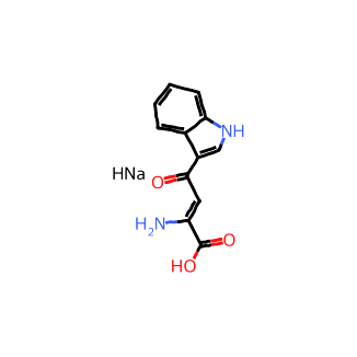 NC(=CC(=O)c1c[nH]c2ccccc12)C(=O)O.[NaH]